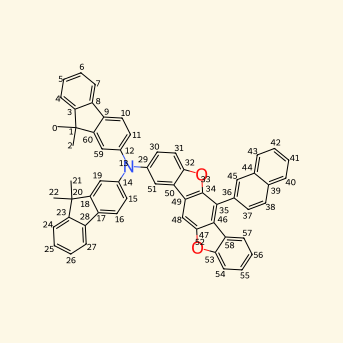 CC1(C)c2ccccc2-c2ccc(N(c3ccc4c(c3)C(C)(C)c3ccccc3-4)c3ccc4oc5c(-c6ccc7ccccc7c6)c6c(cc5c4c3)oc3ccccc36)cc21